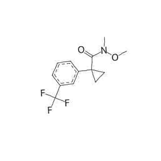 CON(C)C(=O)C1(c2cccc(C(F)(F)F)c2)CC1